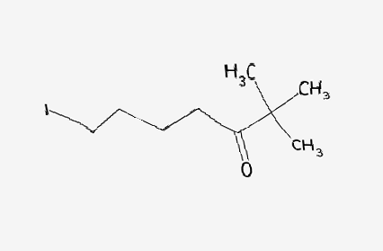 CC(C)(C)C(=O)CCCCI